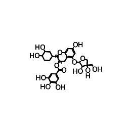 O=C(O[C@@H]1Cc2c(OC3OCC(O)(CO)C3O)cc(O)cc2O[C@@H]1C1CCC(O)C(O)C1)c1cc(O)c(O)c(O)c1